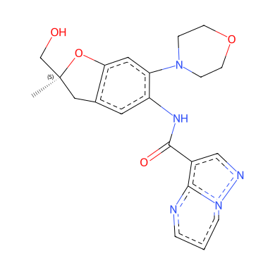 C[C@@]1(CO)Cc2cc(NC(=O)c3cnn4cccnc34)c(N3CCOCC3)cc2O1